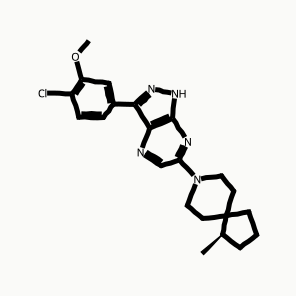 COc1cc(-c2n[nH]c3nc(N4CCC5(CCC[C@H]5C)CC4)cnc23)ccc1Cl